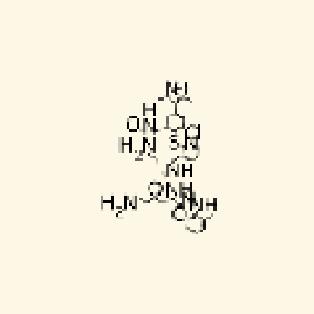 Cc1ccccc1NN(C)C(=O)[C@H](CCCCN)NC(=O)[C@H](CCCN)NCc1cccnc1Sc1c(Cl)cc(-c2c(C)noc2C)cc1CNC=O